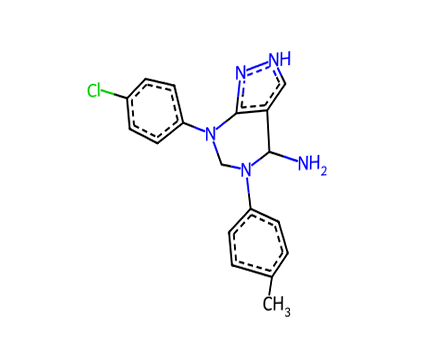 Cc1ccc(N2CN(c3ccc(Cl)cc3)c3n[nH]cc3C2N)cc1